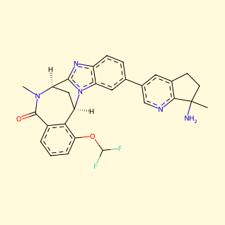 CN1C(=O)c2cccc(OC(F)F)c2[C@H]2C[C@@H]1c1nc3ccc(-c4cnc5c(c4)CCC5(C)N)cc3n12